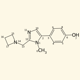 Cn1c(-c2ccc(O)cc2)cnc1CN1CCC1